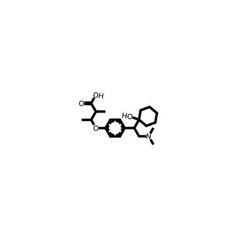 CC(Oc1ccc(C(CN(C)C)C2(O)CCCCC2)cc1)C(C)C(=O)O